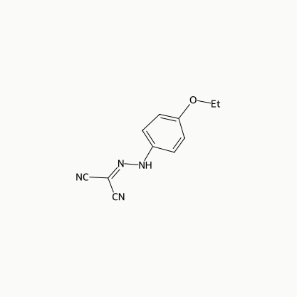 CCOc1ccc(NN=C(C#N)C#N)cc1